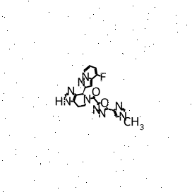 Cn1cnc(-c2nnc(C(=O)N3CCc4[nH]cnc4[C@H]3c3cc4c(F)cccn4n3)o2)c1